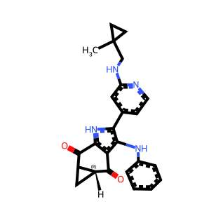 CC1(CNc2cc(-c3[nH]c4c(c3Nc3ccccc3)C(=O)[C@@H]3CC3C4=O)ccn2)CC1